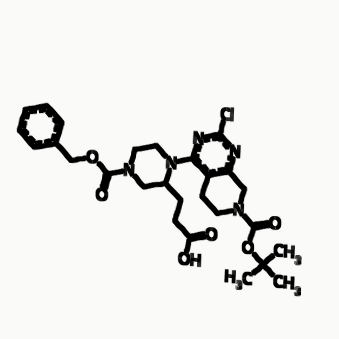 CC(C)(C)OC(=O)N1CCc2c(nc(Cl)nc2N2CCN(C(=O)OCc3ccccc3)CC2CCC(=O)O)C1